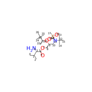 CC(C)[C@H](N)C(=O)OC[C@H](CN(C(C)(C)C)S(C)(=O)=O)O[C@@H](C)C(C)(C)C